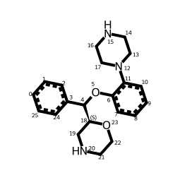 c1ccc(C(Oc2ccccc2N2CCNCC2)[C@@H]2CNCCO2)cc1